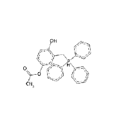 CC(=O)Oc1ccc(O)c(C[PH](c2ccccc2)(c2ccccc2)c2ccccc2)c1